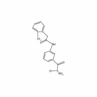 O=C(Cc1ccccc1C(F)(F)F)Nc1cccc(C(=O)C(Cl)[N+](=O)[O-])c1